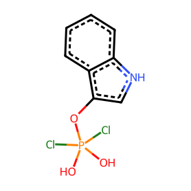 OP(O)(Cl)(Cl)Oc1c[nH]c2ccccc12